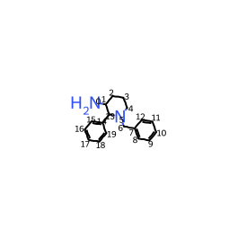 NC1CCCN(Cc2ccccc2)C1c1ccccc1